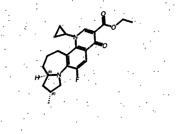 CCOC(=O)c1cn(C2CC2)c2c3c(c(F)cc2c1=O)N1C[C@H](C)C[C@H]1CCC3